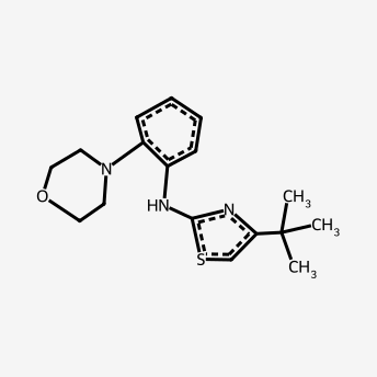 CC(C)(C)c1csc(Nc2ccccc2N2CCOCC2)n1